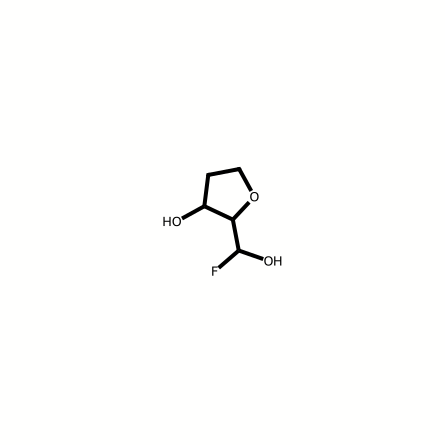 OC(F)C1OCCC1O